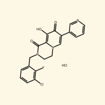 Cl.O=C1c2c(O)c(=O)c(-c3cccnc3)cn2CCN1Cc1cccc(Cl)c1F